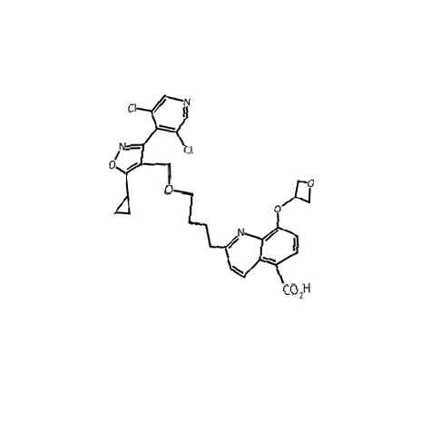 O=C(O)c1ccc(OC2COC2)c2nc(CCCCOCc3c(-c4c(Cl)cncc4Cl)noc3C3CC3)ccc12